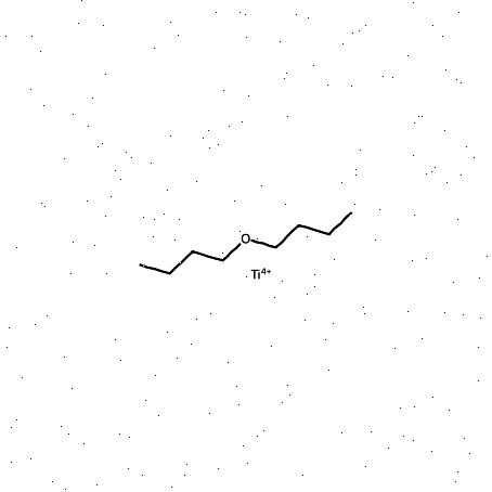 CCCCOCCCC.[Ti+4]